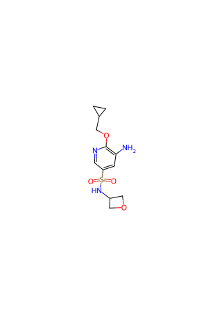 Nc1cc(S(=O)(=O)NC2COC2)cnc1OCC1CC1